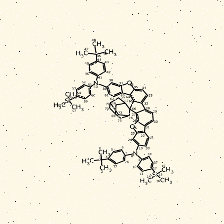 CC(C)(C)c1ccc(N(c2ccc([Si](C)(C)C)cc2)c2ccc3c(c2)oc2c4c(ccc23)-c2ccc3oc5cc(N(c6ccc(C(C)(C)C)cc6)c6ccc([Si](C)(C)C)cc6)ccc5c3c2C42C3CC4CC(C3)CC2C4)cc1